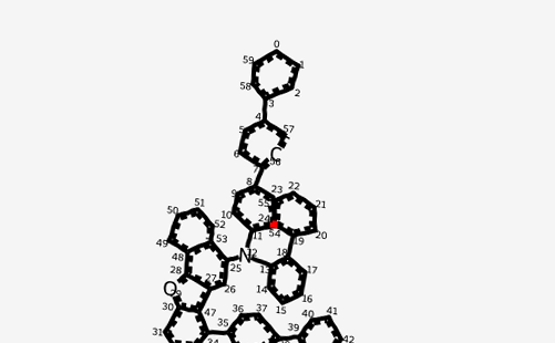 c1ccc(-c2ccc(-c3ccc(N(c4ccccc4-c4ccccc4)c4cc5c(oc6cccc(-c7ccc(-c8ccccc8)cc7)c65)c5ccccc45)cc3)cc2)cc1